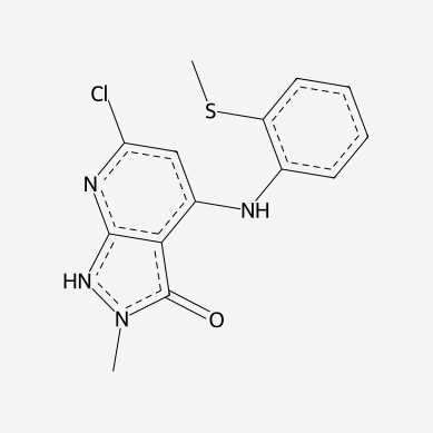 CSc1ccccc1Nc1cc(Cl)nc2[nH]n(C)c(=O)c12